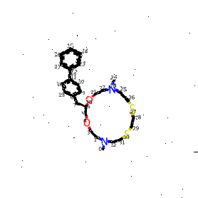 CN1CCOCC(Cc2ccc(-c3ccccc3)cc2)OCCN(C)CCSCCSCC1